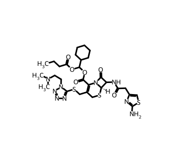 CCCC(=O)OC(OC(=O)C1=C(CSc2nnnn2CCN(C)C)CS[C@@H]2C(NC(=O)Cc3csc(N)n3)C(=O)N12)C1CCCCC1